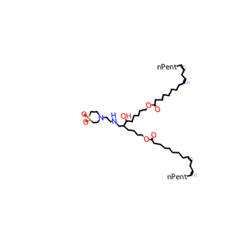 CCCCC/C=C\C/C=C\CCCCCCCC(=O)OCCCCCC(O)C(CCCCOC(=O)CCCCCCC/C=C\C/C=C\CCCCC)CNCCN1CCS(=O)(=O)CC1